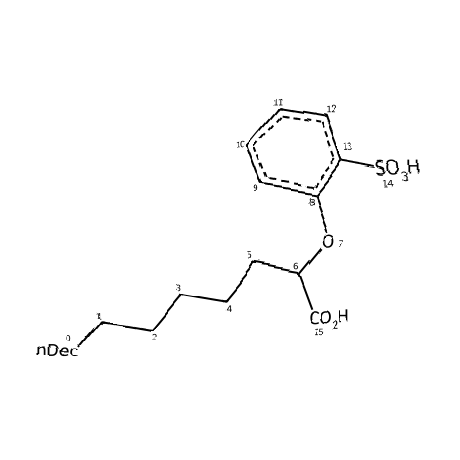 CCCCCCCCCCCCCCCC(Oc1ccccc1S(=O)(=O)O)C(=O)O